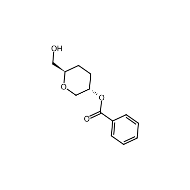 O=C(O[C@H]1CC[C@H](CO)OC1)c1ccccc1